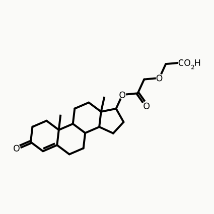 CC12CCC(=O)C=C1CCC1C2CCC2(C)C(OC(=O)COCC(=O)O)CCC12